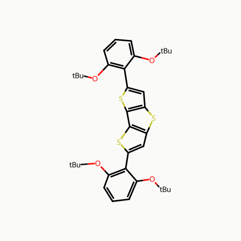 CC(C)(C)Oc1cccc(OC(C)(C)C)c1-c1cc2sc3cc(-c4c(OC(C)(C)C)cccc4OC(C)(C)C)sc3c2s1